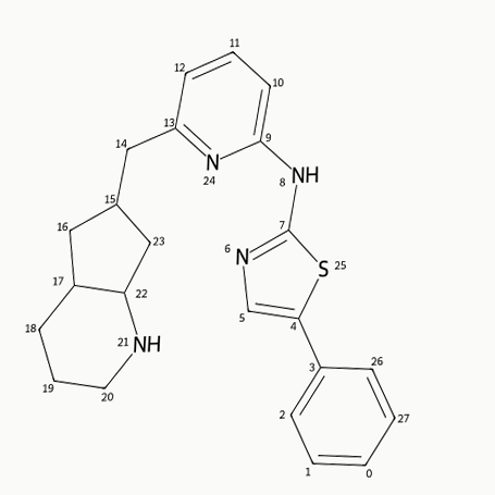 c1ccc(-c2cnc(Nc3cccc(CC4CC5CCCNC5C4)n3)s2)cc1